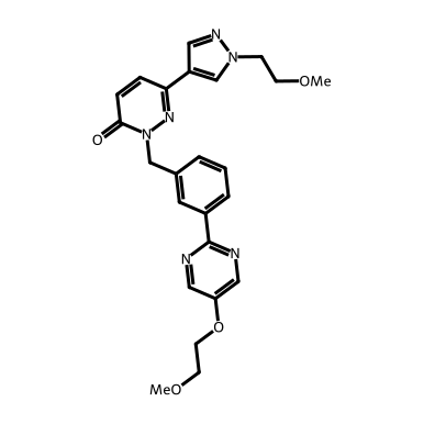 COCCOc1cnc(-c2cccc(Cn3nc(-c4cnn(CCOC)c4)ccc3=O)c2)nc1